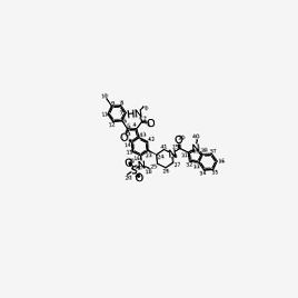 CNC(=O)c1c(-c2ccc(C)cc2)oc2cc(N(C)S(C)(=O)=O)c([C@@H]3CCCN(C(=O)c4cc5ccccc5n4C)C3)cc12